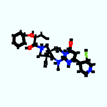 CC[C@@H](Oc1ccccc1)C(=O)N1C[C@@H]2[C@H](C1)[C@H]2N(C)c1nc(-c2ccncc2F)cc(=O)n1C